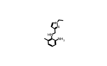 CCn1ccc(CNc2c(C)cccc2N)n1